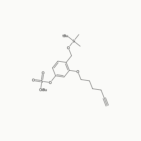 C#CCCCCOc1cc(OS(=O)(=O)OCC(C)C)ccc1CO[Si](C)(C)C(C)(C)C